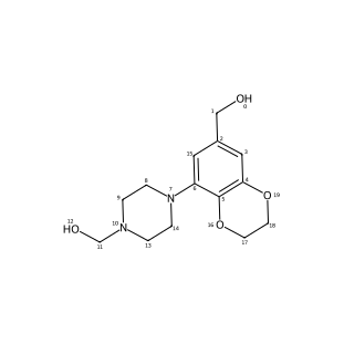 OCc1cc2c(c(N3CCN(CO)CC3)c1)OCCO2